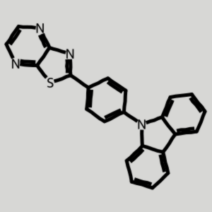 c1ccc2c(c1)c1ccccc1n2-c1ccc(-c2nc3nccnc3s2)cc1